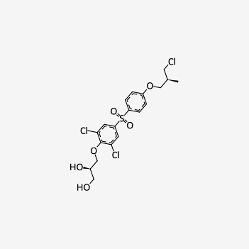 C[C@H](CCl)COc1ccc(S(=O)(=O)c2cc(Cl)c(OC[C@H](O)CO)c(Cl)c2)cc1